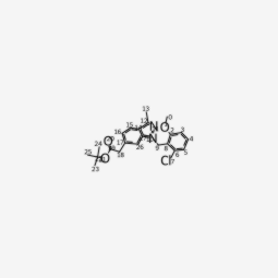 COc1cccc(Cl)c1Cn1nc(C)c2ccc(CC(=O)OC(C)(C)C)cc21